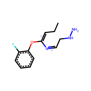 CC/C=C(\N=C/CNN)Oc1ccccc1F